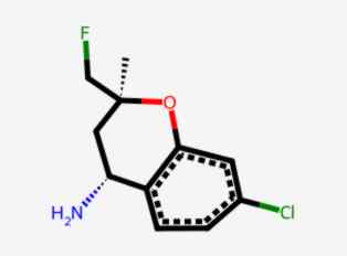 C[C@@]1(CF)C[C@@H](N)c2ccc(Cl)cc2O1